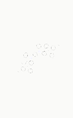 C=Cc1ccc(C2(C3=C(C)CCC(C)=C3)c3ccccc3-c3ccc(N(c4ccc(N(c5ccc6c(c5)C(c5ccc(C=C)cc5)(c5cc(C)ccc5C)c5ccccc5-6)c5cc(F)cc(F)c5F)cc4)c4cc(F)cc(F)c4F)cc32)cc1